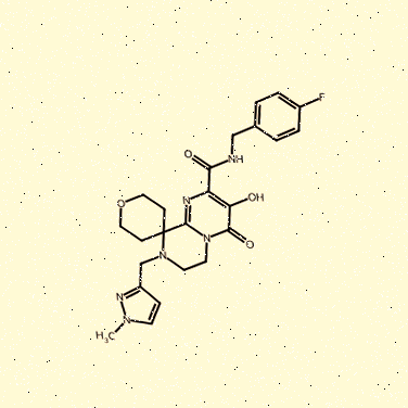 Cn1ccc(CN2CCn3c(nc(C(=O)NCc4ccc(F)cc4)c(O)c3=O)C23CCOCC3)n1